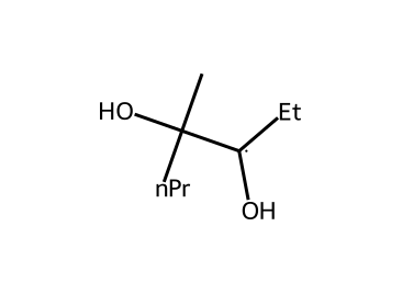 CCCC(C)(O)[C](O)CC